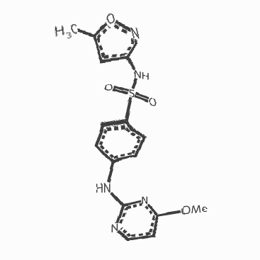 COc1ccnc(Nc2ccc(S(=O)(=O)Nc3cc(C)on3)cc2)n1